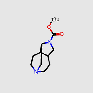 CC(C)(C)OC(=O)N1CC2CCN3CCC2C1C3